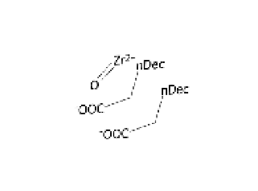 CCCCCCCCCCCC(=O)[O-].CCCCCCCCCCCC(=O)[O-].[O]=[Zr+2]